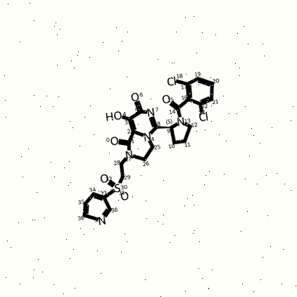 O=C1c2c(O)c(=O)nc([C@@H]3CCCN3C(=O)c3c(Cl)cccc3Cl)n2CCN1CCS(=O)(=O)c1cccnc1